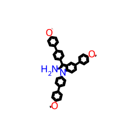 COc1ccc(-c2ccc(-c3c(N)n(-c4ccc(-c5ccc(OC)cc5)cc4)c4ccc(-c5ccc(OC)cc5)cc34)cc2)cc1